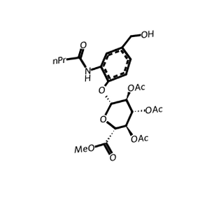 CCCC(=O)Nc1cc(CO)ccc1O[C@H]1O[C@@H](C(=O)OC)[C@H](OC(C)=O)[C@@H](OC(C)=O)[C@@H]1OC(C)=O